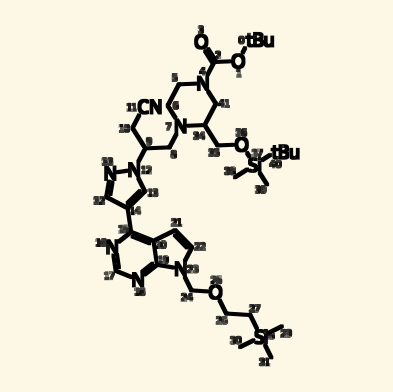 CC(C)(C)OC(=O)N1CCN(CC(CC#N)n2cc(-c3ncnc4c3ccn4COCC[Si](C)(C)C)cn2)C(CO[Si](C)(C)C(C)(C)C)C1